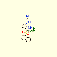 Cl.Cl.NCCNc1cccc2c(S(=O)(=O)c3cccc4ccccc34)n[nH]c12